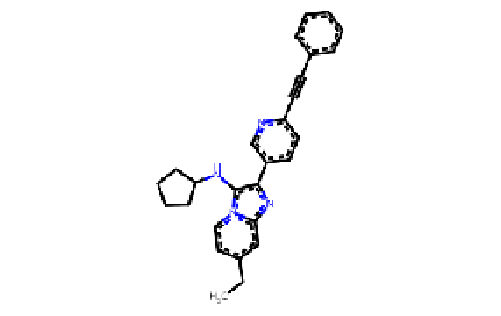 CCc1ccn2c(NC3CCCC3)c(-c3ccc(C#Cc4ccccc4)nc3)nc2c1